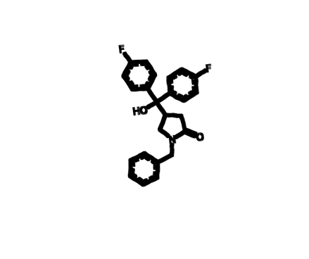 O=C1CC(C(O)(c2ccc(F)cc2)c2ccc(F)cc2)CN1Cc1ccccc1